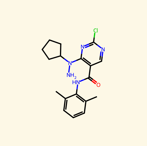 Cc1cccc(C)c1NC(=O)c1cnc(Cl)nc1N(N)C1CCCC1